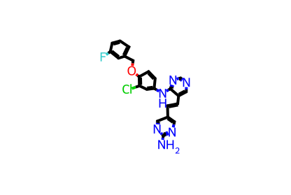 Nc1ncc(/C=C/c2cncnc2Nc2ccc(OCc3cccc(F)c3)c(Cl)c2)cn1